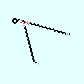 CCCCCCCCCCCCCCCCCCCCOC[C@H](COCc1ccccc1)OCCCCCCCCCCCCCCCCCCCC